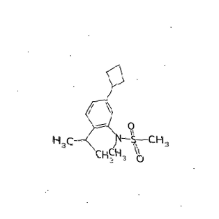 CC(C)c1ccc(C2CCC2)cc1N(C)S(C)(=O)=O